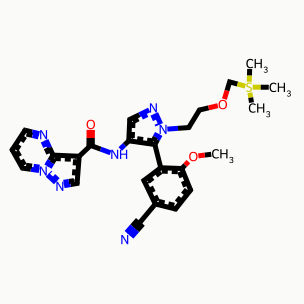 COc1ccc(C#N)cc1-c1c(NC(=O)c2cnn3cccnc23)cnn1CCOCS(C)(C)C